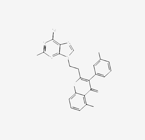 Nc1nc(F)nc2c1ncn2CCc1oc2cccc(F)c2c(=O)c1-c1cccc(F)c1